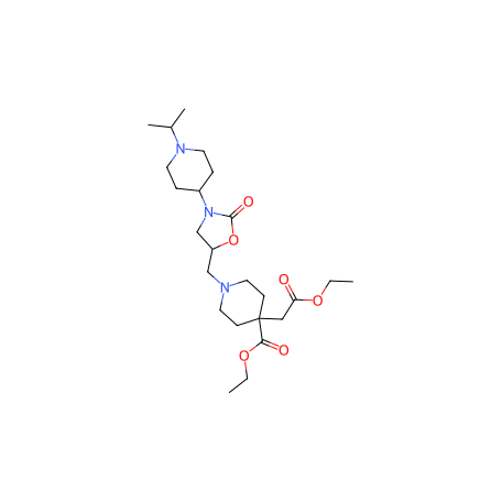 CCOC(=O)CC1(C(=O)OCC)CCN(CC2CN(C3CCN(C(C)C)CC3)C(=O)O2)CC1